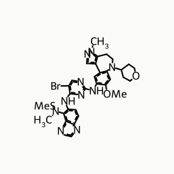 COc1cc2c(cc1Nc1ncc(Br)c(Nc3ccc4nccnc4c3N(C)SC)n1)-c1cnn(C)c1CCN2C1CCOCC1